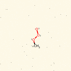 COO[O]